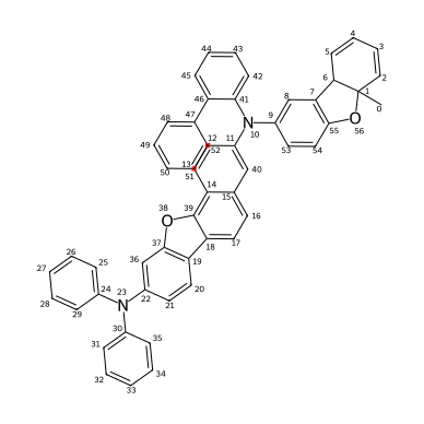 CC12C=CC=CC1c1cc(N(c3ccc4c(ccc5c6ccc(N(c7ccccc7)c7ccccc7)cc6oc45)c3)c3ccccc3-c3ccccc3)ccc1O2